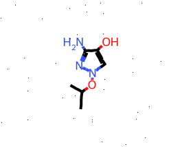 CC(C)On1cc(O)c(N)n1